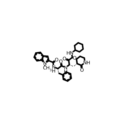 Cn1c(C(=O)N[C@@H](Cc2ccccc2)C(=O)N[C@@H](C[C@@H]2CCCNC2=O)C(=O)C(=O)NC2CCCCC2)cc2ccccc21